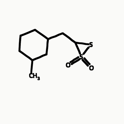 CC1CCCC(CC2SS2(=O)=O)C1